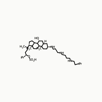 CC(C)CCNCCCCNCCCN[C@H]1CC[C@]2(C)C3CC[C@@]4(C)C(CC[C@@H]4[C@H](C)CC[C@@H](OS(=O)(=O)O)C(C)C)C3[C@H](O)C[C@H]2C1